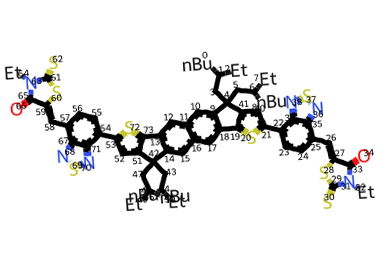 CCCCC(CC)CC1(CC(CC)CCCC)c2cc3cc4c(cc3cc2-c2sc(-c3ccc(/C=C5\SC(=S)N(CC)C5=O)c5nsnc35)cc21)C(CC(CC)CCCC)(CC(CC)CCCC)c1cc(-c2ccc(/C=C3\SC(=S)N(CC)C3=O)c3nsnc23)sc1-4